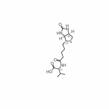 CC(C)[C@H](NC(=O)CCCC[C@@H]1SC[C@@H]2NC(=O)N[C@@H]21)C(=O)O